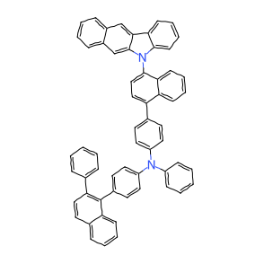 c1ccc(-c2ccc3ccccc3c2-c2ccc(N(c3ccccc3)c3ccc(-c4ccc(-n5c6ccccc6c6cc7ccccc7cc65)c5ccccc45)cc3)cc2)cc1